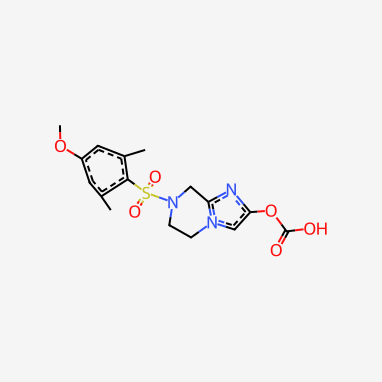 COc1cc(C)c(S(=O)(=O)N2CCn3cc(OC(=O)O)nc3C2)c(C)c1